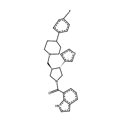 O=C(c1cccc2cc[nH]c12)N1C[C@@H](CN2CCC(c3ccc(F)cc3)CC2)[C@H](c2ccsc2)C1